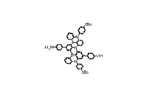 CC(C)(C)c1ccc(N2c3ccccc3B3c4cc(-c5ccc(N)cc5)cc5c4N(c4cccc2c43)c2cc(-c3ccc(O)cc3)cc3c2B5c2ccccc2N3c2ccc(C(C)(C)C)cc2)cc1